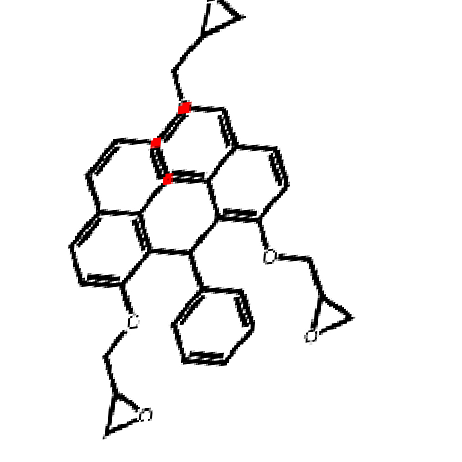 c1ccc(C(c2c(OCC3CO3)ccc3ccccc23)c2c(OCC3CO3)ccc3ccc(OCC4CO4)cc23)cc1